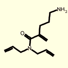 C=CCN(CC=C)C(=O)C(=C)CCCN